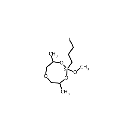 CO[Si]1(CCCI)OC(C)COCC(C)O1